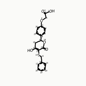 O=C(O)COc1ccc(C2CC(O)=C(SCc3ccccc3)C(=O)O2)cc1